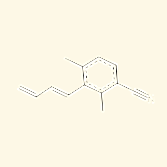 C=CC=Cc1c(C)ccc(C#N)c1C